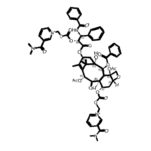 CC(=O)O[C@@H]1C2=C(C)[C@@H](OC(=O)[C@H](OC(=O)OC[n+]3cccc(C(=O)N(C)C)c3)[C@@H](NC(=O)c3ccccc3)c3ccccc3)C[C@@](O)([C@@H](OC(=O)c3ccccc3)C3[C@](C)(C1O)[C@@H](OC(=O)OC[n+]1cccc(C(=O)N(C)C)c1)C[C@H]1OC[C@@]31OC(C)=O)C2(C)C